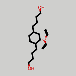 C=COC=C.OCCCCC1CCC(CCCCO)CC1